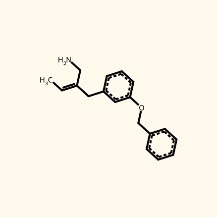 C/C=C(\CN)Cc1cccc(OCc2ccccc2)c1